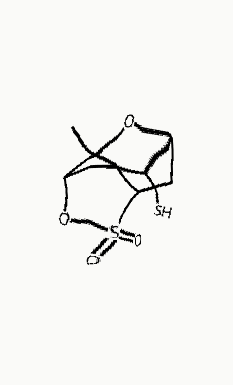 CC12OC3CC1S(=O)(=O)OC2C3S